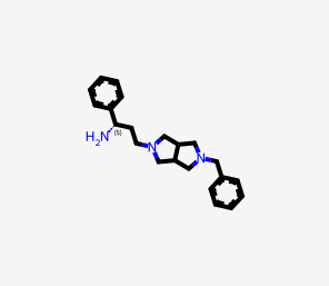 N[C@@H](CCN1CC2CN(Cc3ccccc3)CC2C1)c1ccccc1